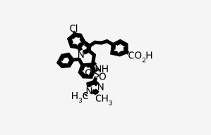 Cc1nc(S(=O)(=O)NCCc2c(CCCc3ccc(C(=O)O)cc3)c3cc(Cl)ccc3n2C(c2ccccc2)c2ccccc2)cn1C